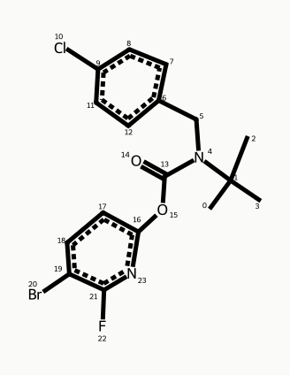 CC(C)(C)N(Cc1ccc(Cl)cc1)C(=O)Oc1ccc(Br)c(F)n1